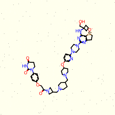 O=C1CCN(c2ccc(OCC(=O)N3CC(CN4CCC(CN5CCC(Oc6ccc(N7CCN(c8nc9c(c(NC%10(CO)CCC%10)n8)[S@+]([O-])CC9)CC7)nc6)CC5)CC4)C3)cc2)C(=O)N1